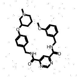 COc1cccc(CNC(=O)c2cc(C(=O)NCc3ccc(OC4CCCN(C)C4)cc3)ncn2)c1